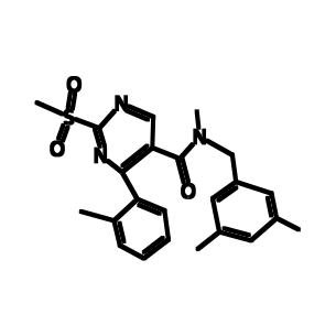 Cc1cc(C)cc(CN(C)C(=O)c2cnc(S(C)(=O)=O)nc2-c2ccccc2C)c1